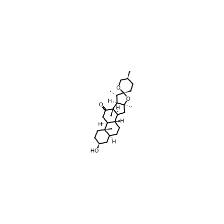 C[C@H]1CC[C@@]2(OC1)O[C@@]1(C)C[C@H]3[C@@H]4CC[C@H]5C[C@@H](O)CC[C@]5(C)[C@H]4CC(=O)[C@]3(C)[C@H]1[C@@H]2C